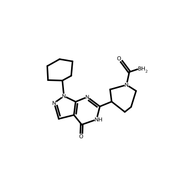 BC(=O)N1CCCC(c2nc3c(cnn3C3CCCCC3)c(=O)[nH]2)C1